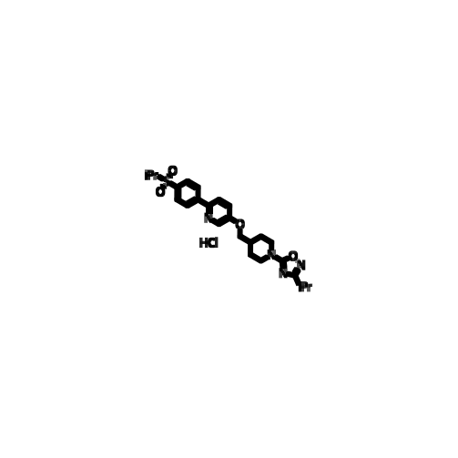 CC(C)c1noc(N2CCC(COc3ccc(-c4ccc(S(=O)(=O)C(C)C)cc4)nc3)CC2)n1.Cl